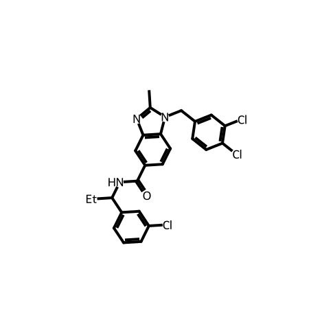 CCC(NC(=O)c1ccc2c(c1)nc(C)n2Cc1ccc(Cl)c(Cl)c1)c1cccc(Cl)c1